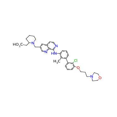 Cc1c(Nc2nccc3cc(CN4CCCCC4CC(=O)O)cnc23)cccc1-c1cccc(OCCCN2CCOCC2)c1Cl